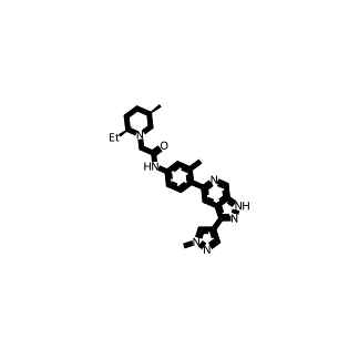 CC[C@H]1CC[C@@H](C)CN1CC(=O)Nc1ccc(-c2cc3c(-c4cnn(C)c4)n[nH]c3cn2)c(C)c1